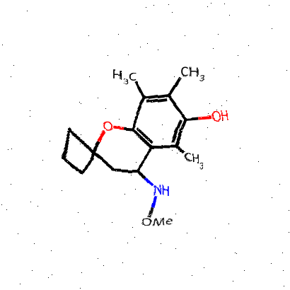 CONC1CC2(CCC2)Oc2c(C)c(C)c(O)c(C)c21